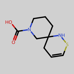 O=C(O)N1CCCC2(CC=CSN2)C1